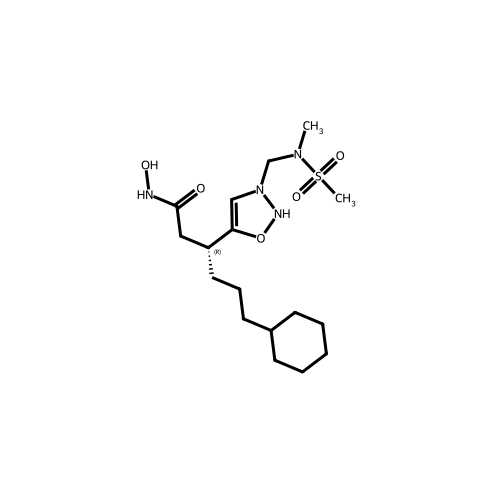 CN(CN1C=C([C@H](CCCC2CCCCC2)CC(=O)NO)ON1)S(C)(=O)=O